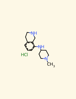 CN1CCC(Nc2cccc3c2CNCC3)CC1.Cl